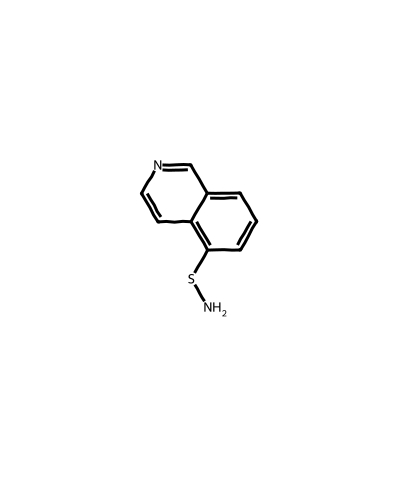 NSc1cccc2cnccc12